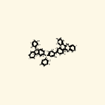 C1=Cc2c(c3cc(N(c4ccccc4)c4ccc(-c5ccc(-c6nc7ccccc7nc6-c6ccccc6)cc5)cc4)ccc3n2-c2ccccc2)CC1